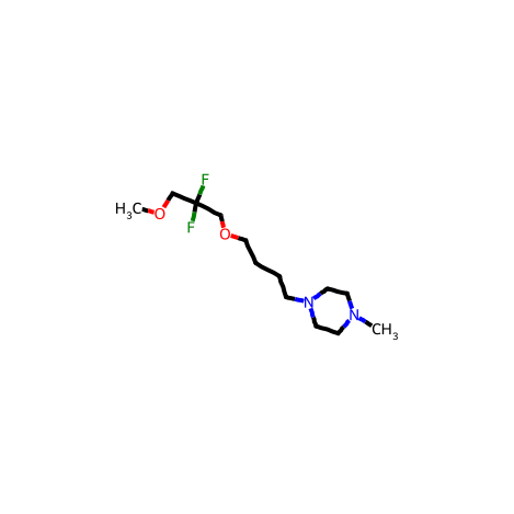 COCC(F)(F)COCCCCN1CCN(C)CC1